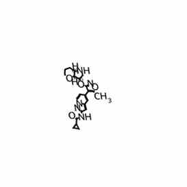 Cc1onc(O[C@@H]2CN[C@@H]3CCCO[C@@H]32)c1-c1ccn2nc(NC(=O)C3CC3)cc2c1